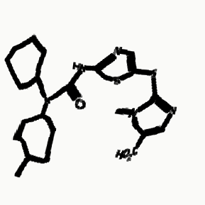 CC1CCC(N(C(=O)Nc2ncc(Sc3ncc(C(=O)O)n3C)s2)C2CCCCC2)CC1